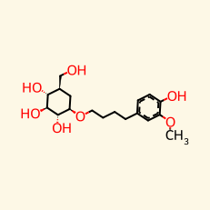 COc1cc(CCCCO[C@@H]2C[C@H](CO)[C@@H](O)[C@H](O)[C@H]2O)ccc1O